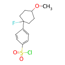 COC1CCC(F)(c2ccc(S(=O)(=O)Cl)cc2)CC1